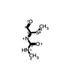 CNC(=O)N=C(C=O)SC